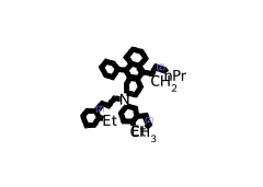 C=C(/C=C\CCC)C1=C2CCCCC2C(C2CCCCC2)C2=C1CCC(N(CC/C=C1/CCCCC1CC)C1CCC(C)C(/C=C\CC)C1)C2